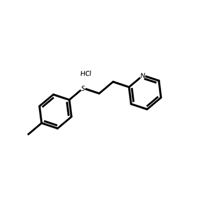 Cc1ccc(SCCc2ccccn2)cc1.Cl